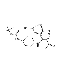 CC(=O)c1cnc2ccc(Br)cc2c1NC1CCC(NC(=O)OC(C)(C)C)CC1